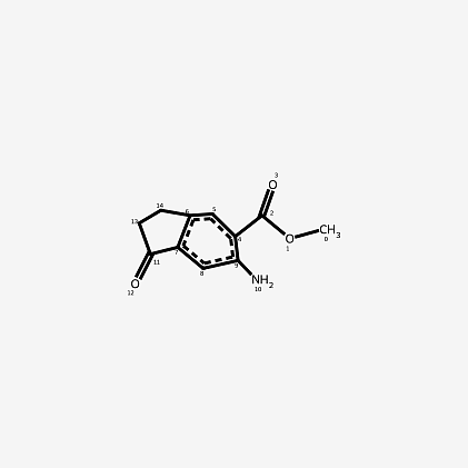 COC(=O)c1cc2c(cc1N)C(=O)CC2